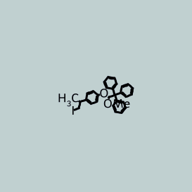 COC(Oc1ccc(C(C)CI)cc1)C(c1ccccc1)(c1ccccc1)c1ccccc1